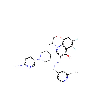 COc1cc(CN(Cc2cn3c4c(cc(F)c(F)c4c2=O)OCC3C)[C@H]2CCCN(c3ccc(N)nc3)C2)ccn1